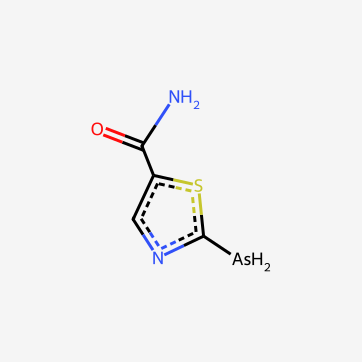 NC(=O)c1cnc([AsH2])s1